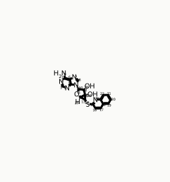 Nc1ncnc2c1ncn2[C@@H]1O[C@@H]2C(Sc3ccc4ccccc4n3)[C@]2(O)[C@H]1O